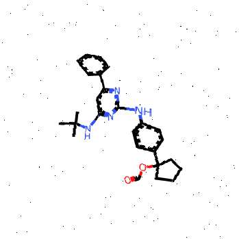 CC(C)(C)Nc1cc(-c2ccccc2)nc(Nc2ccc(C3(OC=O)CCCC3)cc2)n1